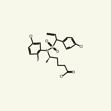 C=CC(c1ccc(Cl)cc1)S(=O)(=O)N(c1cc(Cl)ccc1F)[C@H](C)CCCC(=O)Cl